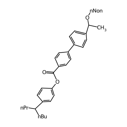 CCCCCCCCCOC(C)c1ccc(-c2ccc(C(=O)Oc3ccc(C(CCC)CCCC)cc3)cc2)cc1